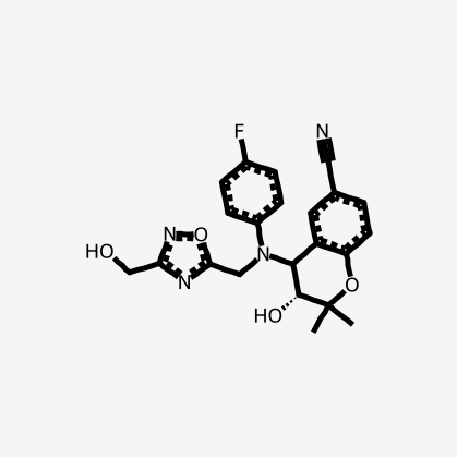 CC1(C)Oc2ccc(C#N)cc2C(N(Cc2nc(CO)no2)c2ccc(F)cc2)[C@H]1O